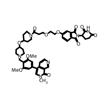 COc1cc(-c2cn(C)c(=O)c3cnccc23)cc(OC)c1CN1CCC(OC2CCN(C(=O)CCOCCOc3ccc4c(c3)C(=O)N(C3CCC(=O)NC3=O)C4=O)CC2)CC1